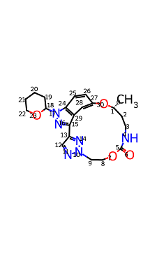 C[C@@H]1CCNC(=O)OCCn2ncc(n2)-c2nn(C3CCCCO3)c3ccc(cc23)O1